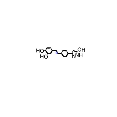 Oc1cc(-c2ccc(/C=C/c3ccc(O)c(O)c3)cc2)n[nH]1